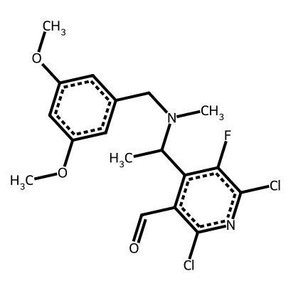 COc1cc(CN(C)C(C)c2c(F)c(Cl)nc(Cl)c2C=O)cc(OC)c1